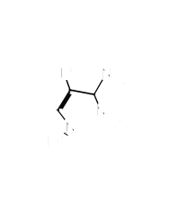 C=N/C=C(/F)C(N)N